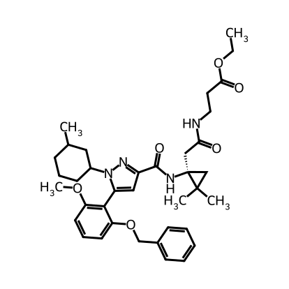 CCOC(=O)CCNC(=O)C[C@]1(NC(=O)c2cc(-c3c(OC)cccc3OCc3ccccc3)n(C3CCCC(C)C3)n2)CC1(C)C